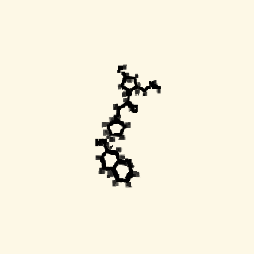 C=NC[C@@H]1C[C@H](F)CN1C(=O)CN1CC[C@H](Nc2ccc3cccnc3c2)C1